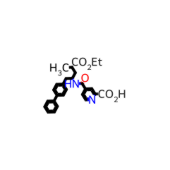 CCOC(=O)[C@H](C)CC(Cc1ccc(-c2ccccc2)cc1)NC(=O)c1ccnc(C(=O)O)c1